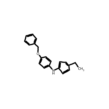 CCc1ccc(Nc2ccc(OCc3ccccc3)cc2)cc1